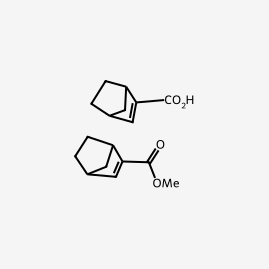 COC(=O)C1=CC2CCC1C2.O=C(O)C1=CC2CCC1C2